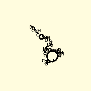 COc1cc2cc(c1Cl)CC(=O)C[C@H](OC(=O)[C@H](C)N(C)C(=O)CCOC(=O)N(C)CCN(C)C(=O)OC1/C=C/CC(OCCNC(=O)CBr)CCC1)[C@]1(C)O[C@H]1[C@H](C)[C@@H]1C[C@@](O)(NC(=O)O1)[C@H](OC)/C=C/C=C(\C)C2